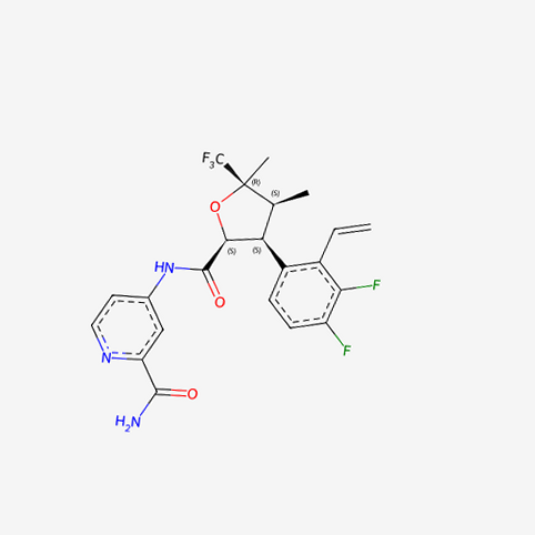 C=Cc1c([C@H]2[C@@H](C(=O)Nc3ccnc(C(N)=O)c3)O[C@@](C)(C(F)(F)F)[C@H]2C)ccc(F)c1F